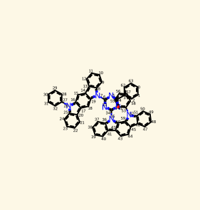 c1ccc(-c2nc(-n3c4ccccc4c4cc5c(cc43)c3ccccc3n5-c3ccccc3)nc(-n3c4ccccc4c4ccc5c6ccccc6n(-c6ccccc6)c5c43)n2)cc1